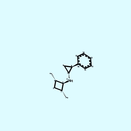 C[C@@H]1C[C@H](C)[C@H]1N[C@@H]1C[C@H]1c1ccccc1